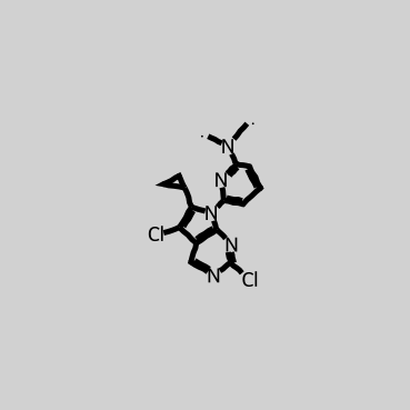 [CH2]N([CH2])c1cccc(-n2c(C3CC3)c(Cl)c3cnc(Cl)nc32)n1